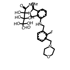 CNC(=O)C(O)(N1Cc2c(NCc3cccc(CN4CCOCC4)c3F)cccc2C1=O)C(O)(O)C(O)(O)C=O